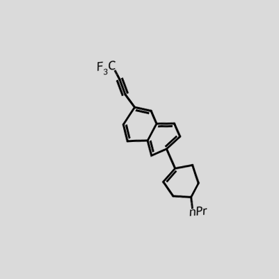 CCCC1CC=C(c2ccc3cc(C#CC(F)(F)F)ccc3c2)CC1